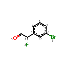 O=C[C@@H](F)c1cccc(Br)c1